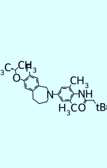 Cc1cc(N2CCCc3cc(O[C@H](C)C(F)(F)F)c(F)cc3C2)cc(C)c1NC(=O)CC(C)(C)C